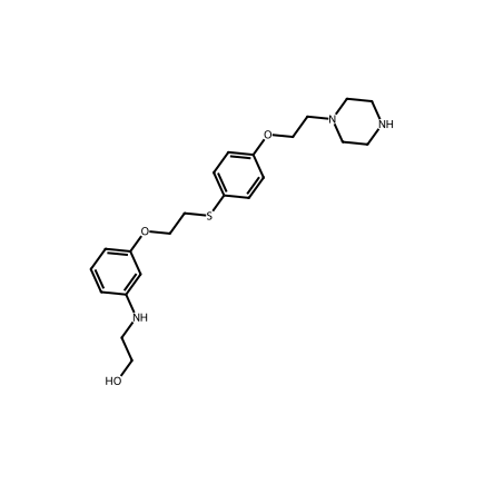 OCCNc1cccc(OCCSc2ccc(OCCN3CCNCC3)cc2)c1